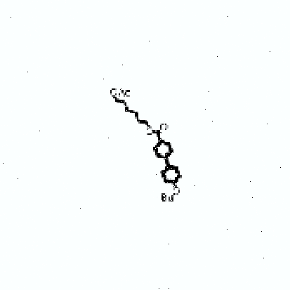 CCCCOc1ccc(-c2ccc(C(=O)OCCCCCCOC(C)=O)cc2)cc1